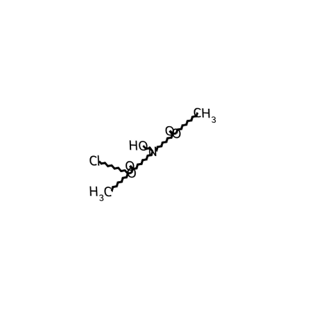 CCCCCCCCCOC(=O)CCCCCCCN(CCO)CCCCCCCC(=O)OC(CCCCCCCC)CCCCCCCCCl